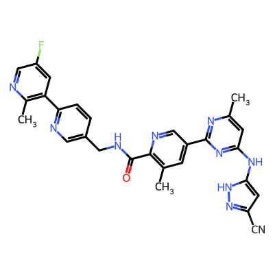 Cc1cc(Nc2cc(C#N)n[nH]2)nc(-c2cnc(C(=O)NCc3ccc(-c4cc(F)cnc4C)nc3)c(C)c2)n1